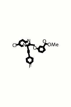 COC(=O)c1cccc(OCc2nc3ccc(Cl)cn3c2C#Cc2ccc(F)cc2)c1